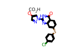 O=C(O)Oc1cnn(-c2nc3cc(Sc4ccc(Cl)cc4)ccc3c(=O)[nH]2)c1